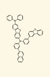 c1ccc(N(c2ccccc2)c2ccc3c(c2)sc2cc(N(c4cccc(-c5ccc6ccccc6c5)c4)c4cccc(-c5ccc6sc7ccccc7c6c5)c4)ccc23)cc1